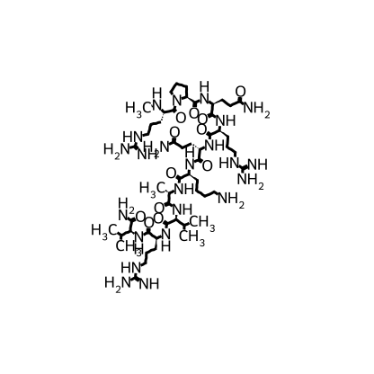 CN[C@@H](CCCNC(=N)N)C(=O)N1CCC[C@H]1C(=O)N[C@@H](CCC(N)=O)C(=O)N[C@@H](CCCNC(=N)N)C(=O)N[C@@H](CCC(N)=O)C(=O)N[C@@H](CCCCN)C(=O)N[C@@H](C)C(=O)N[C@H](C(=O)N[C@@H](CCCNC(=N)N)C(=O)N[C@H](C(N)=O)C(C)C)C(C)C